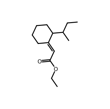 CCOC(=O)C=C1CCCCC1C(C)CC